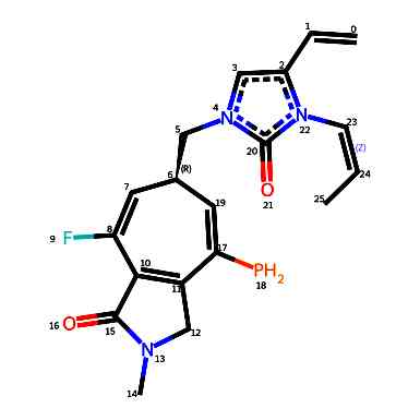 C=Cc1cn(C[C@@H]2C=C(F)C3=C(CN(C)C3=O)C(P)=C2)c(=O)n1/C=C\C